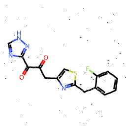 O=C(Cc1csc(Cc2ccccc2F)n1)C(=O)c1nc[nH]n1